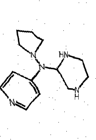 c1cc(N(C2CNCCN2)N2CCCC2)ccn1